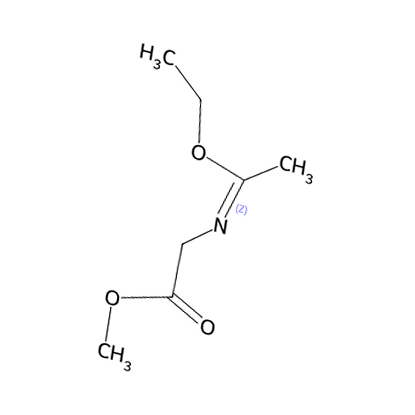 CCO/C(C)=N\CC(=O)OC